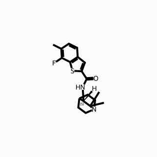 Cc1ccc2cc(C(=O)N[C@H]3C4CCN(CC4)C3(C)C)sc2c1F